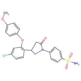 COc1ccc(Oc2cc(Cl)ccc2C2CC(=O)N(c3ccc(S(N)(=O)=O)cc3)C2)cc1